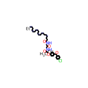 CC/C=C\C/C=C\C/C=C\C/C=C\C/C=C\C/C=C\CCC(=O)NCC(=O)CNC(=O)C(C)(C)Oc1ccc(C(=O)c2ccc(Cl)cc2)cc1